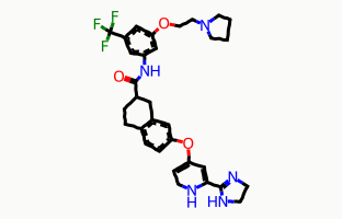 O=C(Nc1cc(OCCN2CCCC2)cc(C(F)(F)F)c1)C1CCc2ccc(OC3=CCNC(C4=NCCN4)=C3)cc2C1